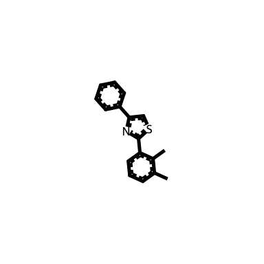 Cc1cccc(-c2nc(-c3ccccc3)cs2)c1C